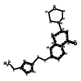 CCc1csc(CCc2ccn3c(=O)cc(N4CCOCC4)nc3c2)c1